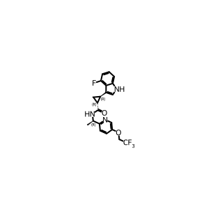 C[C@@H](NC(=O)[C@@H]1C[C@H]1c1c[nH]c2cccc(F)c12)c1ccc(OCC(F)(F)F)cn1